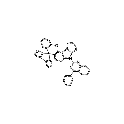 c1ccc(-c2nc(-n3c4ccccc4c4c5c(ccc43)C3(c4ccccc4O5)c4ccccc4-c4ccccc43)nc3ccccc23)cc1